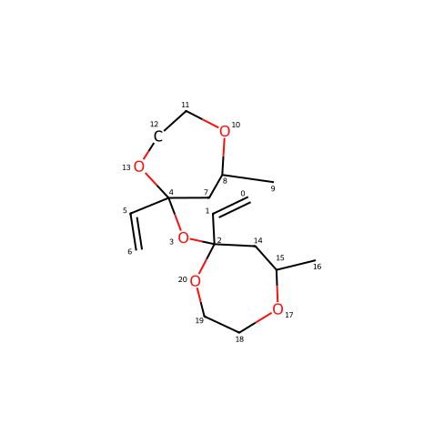 C=CC1(OC2(C=C)CC(C)OCCO2)CC(C)OCCO1